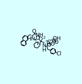 NC(=O)[C@H](Cc1ccc2ccccc2c1)NC(=O)[C@@H]1CCCCN1C(=O)[C@H](CSCP(=O)(O)O)NC(=O)Cc1ccc(Cl)cc1